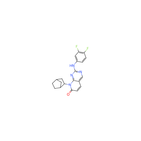 O=c1ccc2cnc(Nc3ccc(F)c(F)c3)nc2n1C1CC2CCC1C2